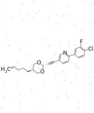 C=CCCC[C@H]1CO[C@H](C#Cc2ccc(-c3ccc(Cl)c(F)c3)nc2)OC1